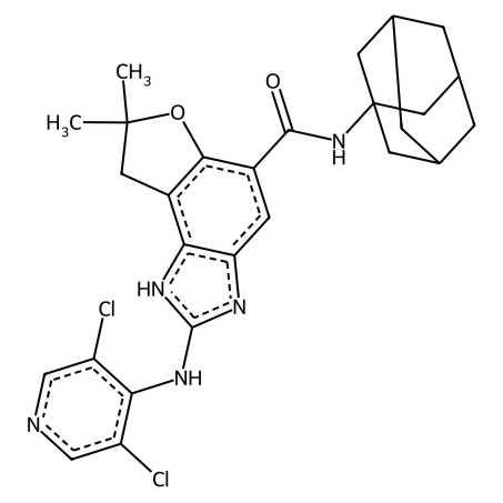 CC1(C)Cc2c(c(C(=O)NC34CC5CC(CC(C5)C3)C4)cc3nc(Nc4c(Cl)cncc4Cl)[nH]c23)O1